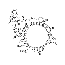 CCCCCCCCCC(=O)NC(Cc1c[nH]c2ccccc12)C(=O)NC(CCC(=O)O)C(=O)NC(C(=O)NC1C(=O)N(C)CC(=O)NC(C)C(=O)NC(CC(=O)O)C(=O)NC(CC(N)=O)C(=O)NC(C(OC)C(=O)O)C(=O)NCC(=O)NC(CC(N)=O)C(=O)NC(CCC(=O)O)C(=O)NC(C(C)CC)C(=O)OC1C)C(O)C(N)=O